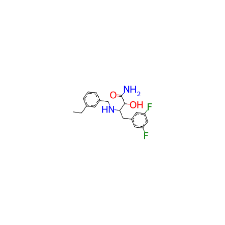 CCc1cccc(CNC(Cc2cc(F)cc(F)c2)C(O)C(N)=O)c1